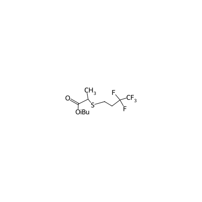 CC(C)COC(=O)C(C)SCCC(F)(F)C(F)(F)F